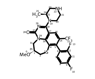 CO[C@H]1CSc2c(-c3ccc(F)cc3F)c(C(F)(F)F)cc3c(N4CCNC[C@@H]4C)nc(=O)n(c23)C1